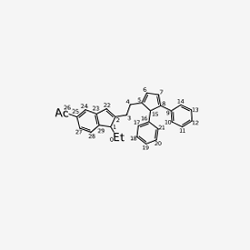 CCC1C(CCC2=CC=C(c3ccccc3)C2c2ccccc2)=Cc2cc(C(C)=O)ccc21